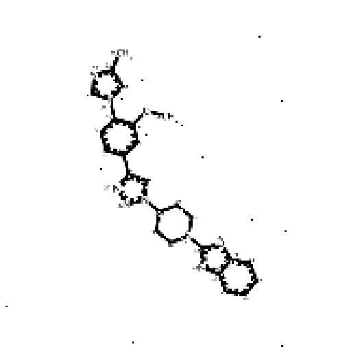 COc1cc(-c2cn(C3CCN(c4nc5ccccc5o4)CC3)nn2)ccc1-n1cnc(C)c1